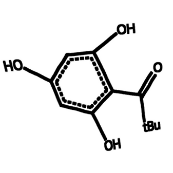 CC(C)(C)C(=O)c1c(O)cc(O)cc1O